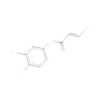 CC(C)(C)C=CC(=O)Oc1ccc(O)c(C(C)(C)C)c1